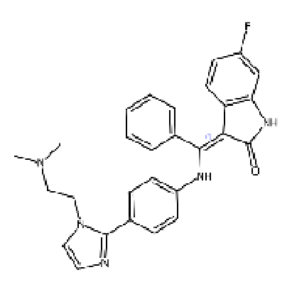 CN(C)CCn1ccnc1-c1ccc(N/C(=C2\C(=O)Nc3cc(F)ccc32)c2ccccc2)cc1